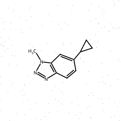 Cn1nnc2ccc(C3CC3)cc21